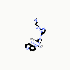 CC(C)C1CN(c2ccnc(NCCCN(C)C)n2)CCN1/C(=N\C#N)Nc1cccc2ncccc12